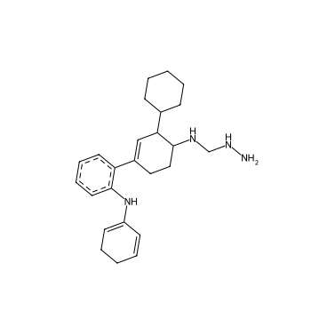 NNCNC1CCC(c2ccccc2NC2=CCCC=C2)=CC1C1CCCCC1